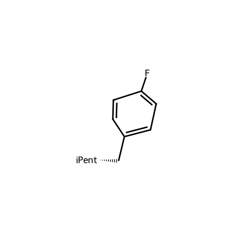 CCC[C@@H](C)Cc1ccc(F)cc1